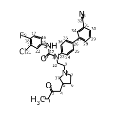 CCC(=O)CC1CCN(CCN(C(=O)Nc2ccc(F)c(Cl)c2)c2ccc(-c3cccc(C#N)c3)cc2)C1